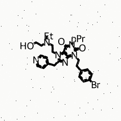 CCCn1c(=O)c2c(nc(Cc3ccncc3)n2CCN(CC)CCO)n(CCc2ccc(Br)cc2)c1=O